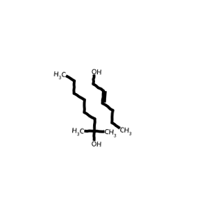 CCC/C=C/CO.CCCCCCC(C)(C)O